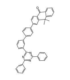 CC1(C)c2ccccc2C(=O)c2ccc(-c3ccc(-c4cccc(-c5nc(-c6ccccc6)nc(-c6ccccc6)n5)c4)cc3)cc21